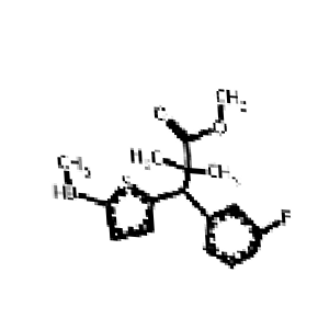 CBc1ccc(C(c2cccc(F)c2)C(C)(C)C(=O)OC)s1